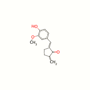 C=C1CC/C(=C\c2ccc(O)c(OC)c2)C1=O